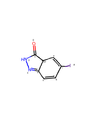 O=C1NN=C2C=CC(I)=CC12